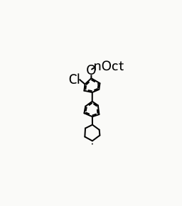 CCCCCCCCOc1ccc(-c2ccc(C3CC[CH]CC3)cc2)cc1Cl